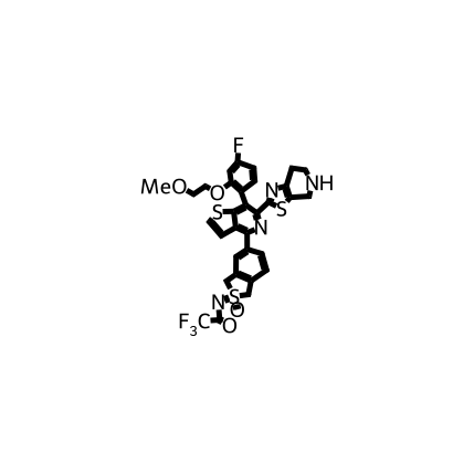 COCCOc1cc(F)ccc1-c1c(-c2nc3c(s2)CNCC3)nc(-c2ccc3c(c2)CS(=O)(=NC(=O)C(F)(F)F)C3)c2ccsc12